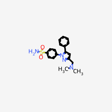 CN(C)Cc1cc(-c2ccccc2)n(-c2ccc(S(N)(=O)=O)cc2)n1